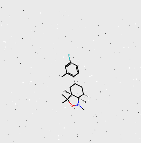 Cc1cc(F)ccc1[C@H]1C[C@@H]2[C@@H]([C@@H](C)C1)N(C)OC2(C)C